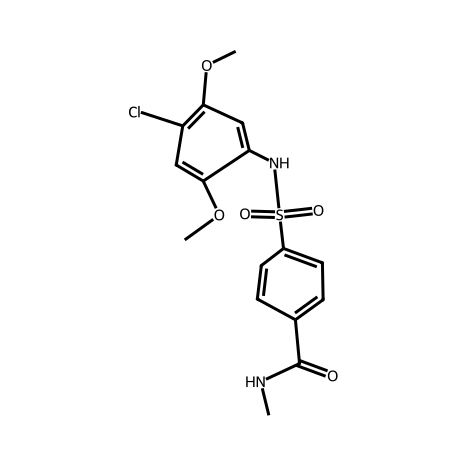 CNC(=O)c1ccc(S(=O)(=O)Nc2cc(OC)c(Cl)cc2OC)cc1